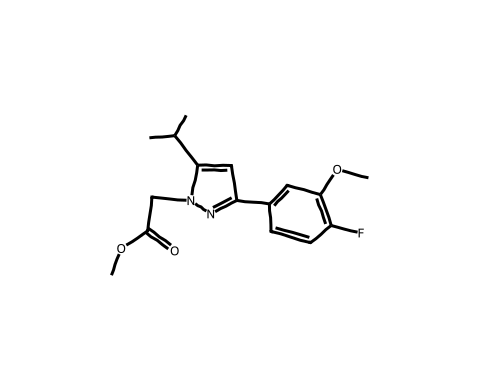 COC(=O)Cn1nc(-c2ccc(F)c(OC)c2)cc1C(C)C